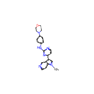 CCCn1cc(-c2ccnc(Nc3ccc(N4CCOCC4)cc3)n2)c2cnccc21